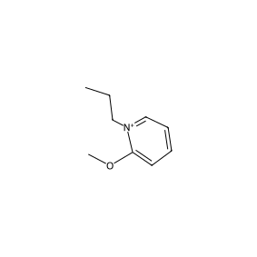 CCC[n+]1ccccc1OC